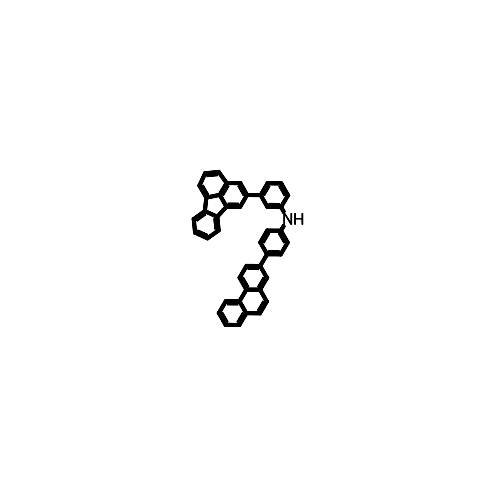 c1cc(Nc2ccc(-c3ccc4c(ccc5ccccc54)c3)cc2)cc(-c2cc3c4c(cccc4c2)-c2ccccc2-3)c1